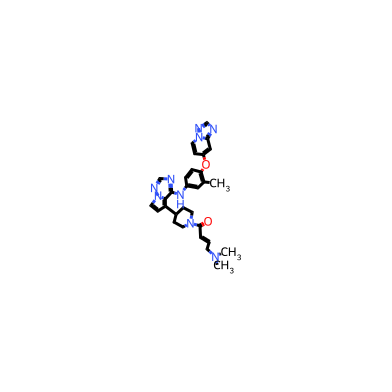 Cc1cc(Nc2ncnn3ccc(C4CCN(C(=O)/C=C/CN(C)C)CC4)c23)ccc1Oc1ccn2ncnc2c1